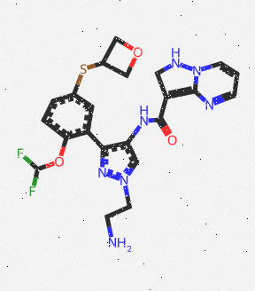 NCCn1cc(NC(=O)C2=C3N=CC=CN3NC2)c(-c2cc(SC3COC3)ccc2OC(F)F)n1